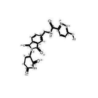 CCSc1ccc(C(=O)NCc2ccc3c(c2)C(=O)N(C2CCC(=O)NC2=O)C3=O)nn1